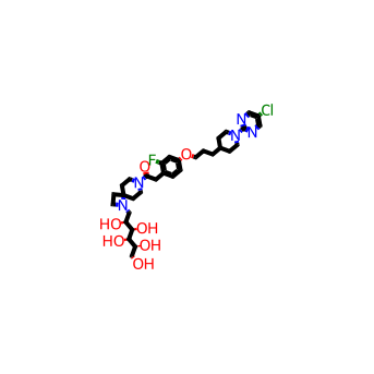 O=C(Cc1ccc(OCCCC2CCN(c3ncc(Cl)cn3)CC2)cc1F)N1CCC2(CC1)CCN2C[C@H](O)[C@@H](O)[C@H](O)[C@H](O)CO